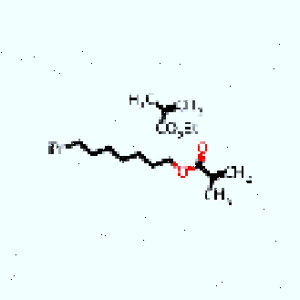 C=C(C)C(=O)OCC.C=C(C)C(=O)OCCCCCCCC(C)C